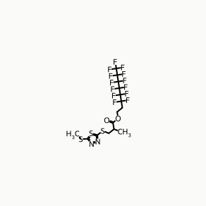 CSc1nnc(SCC(C)C(=O)OCCC(F)(F)C(F)(F)C(F)(F)C(F)(F)C(F)(F)C(F)(F)F)s1